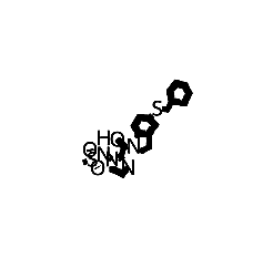 CS(=O)(=O)Nn1ccnc1C(=O)N1CCc2cc(SCc3ccccc3)ccc21